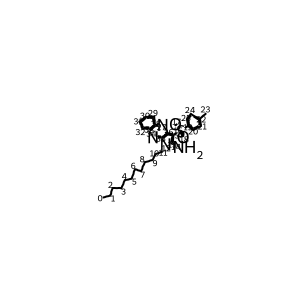 CCCCCCCCCCCCn1c(N)c(S(=O)(=O)c2ccc(C)cc2)c2nc3ccccc3nc21